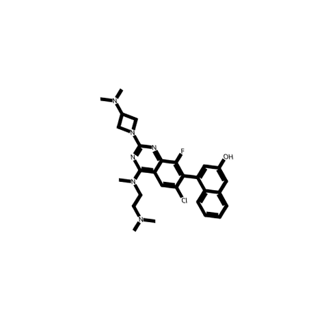 CN(C)CCN(C)c1nc(N2CC(N(C)C)C2)nc2c(F)c(-c3cc(O)cc4ccccc34)c(Cl)cc12